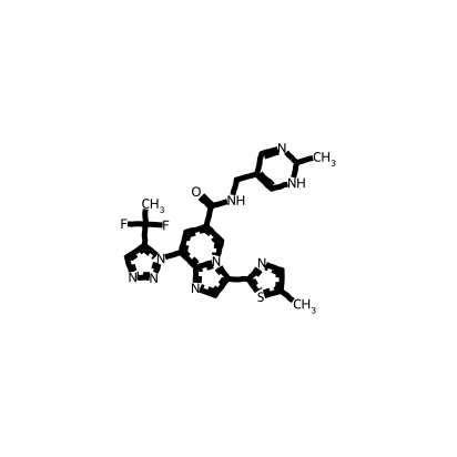 Cc1cnc(-c2cnc3c(-n4nncc4C(C)(F)F)cc(C(=O)NCC4=CNC(C)N=C4)cn23)s1